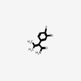 CC(C)=C(C(N)=O)c1ccc(F)c(Br)c1